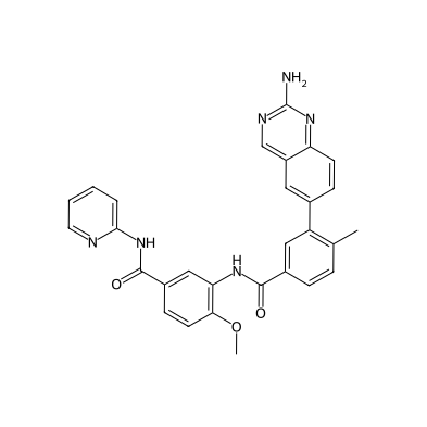 COc1ccc(C(=O)Nc2ccccn2)cc1NC(=O)c1ccc(C)c(-c2ccc3nc(N)ncc3c2)c1